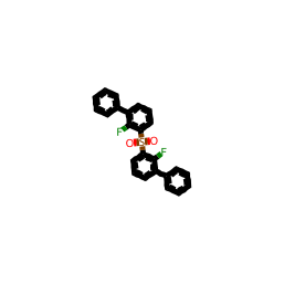 O=S(=O)(c1cccc(-c2ccccc2)c1F)c1cccc(-c2ccccc2)c1F